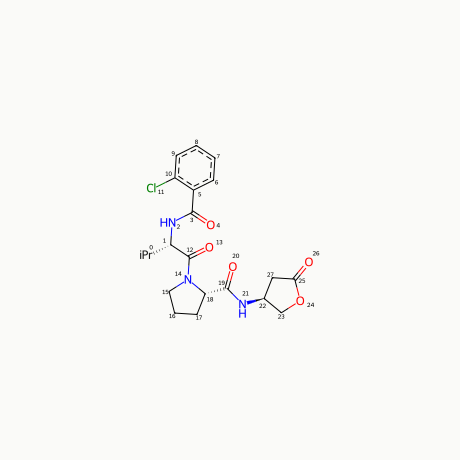 CC(C)[C@H](NC(=O)c1ccccc1Cl)C(=O)N1CCC[C@H]1C(=O)N[C@@H]1COC(=O)C1